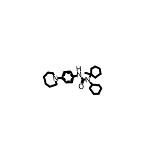 CC1(N(C(=O)Nc2ccc(N3CCCCCC3)cc2)C2CCCCC2)CCCCC1